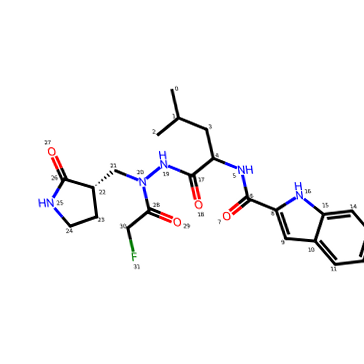 CC(C)CC(NC(=O)c1cc2ccccc2[nH]1)C(=O)NN(C[C@@H]1CCNC1=O)C(=O)CF